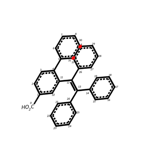 O=C(O)c1ccc(-c2ccccc2)c(C(=C(c2ccccc2)c2ccccc2)c2ccccc2)c1